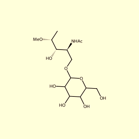 CO[C@H](C)[C@@H](O)[C@H](COC1OC(CO)C(O)C(O)C1O)NC(C)=O